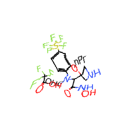 CCCOC1(C(C(=O)NO)N(C=O)c2ccc(S(F)(F)(F)(F)F)cc2)CNC1.O=C(O)C(F)(F)F